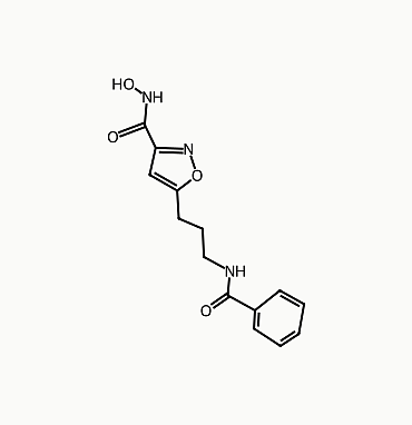 O=C(NCCCc1cc(C(=O)NO)no1)c1ccccc1